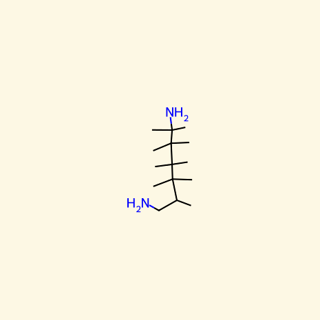 CC(CN)C(C)(C)C(C)(C)C(C)(C)C(C)(C)N